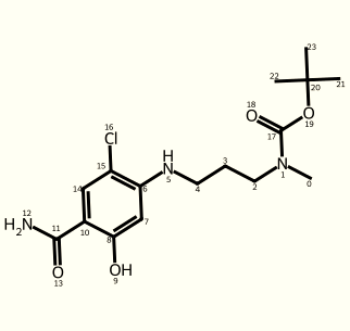 CN(CCCNc1cc(O)c(C(N)=O)cc1Cl)C(=O)OC(C)(C)C